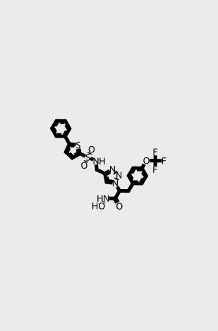 O=C(NO)C(Cc1ccc(OC(F)(F)F)cc1)n1cc(CNS(=O)(=O)c2ccc(-c3ccccc3)s2)nn1